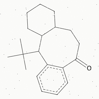 CC(C)(C)C1c2ccccc2C(=O)CCC2CCCCC21